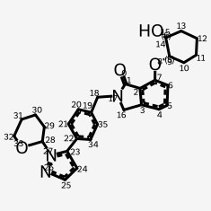 O=C1c2c(cccc2O[C@H]2CCCC[C@@H]2O)CN1Cc1ccc(-c2ccnn2C2CCCCO2)cc1